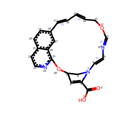 O=C(O)C1=CC2CN1/C=C/N=C/OC/C=C/C=C/c1ccc3ccnc(c3c1)O2